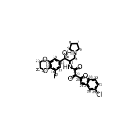 O=C(NC(CN1CCCC1)C(O)c1cc(F)c2c(c1)OCCO2)C(=O)c1cc2cc(Cl)ccc2o1